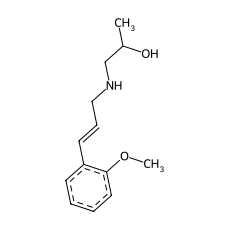 COc1ccccc1C=CCNCC(C)O